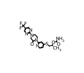 C[C@@H](CSc1ccnc(N2CCN(c3ncc(C(F)(F)F)cn3)CC2=O)c1)OC(N)=O